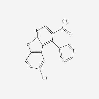 CC(=O)c1cnc2oc3ccc(O)cc3c2c1-c1ccccc1